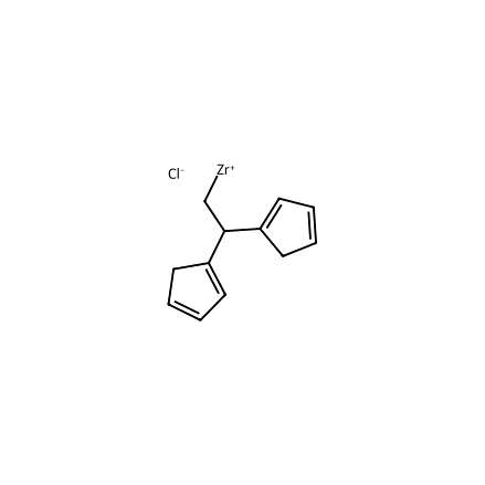 [Cl-].[Zr+][CH2]C(C1=CC=CC1)C1=CC=CC1